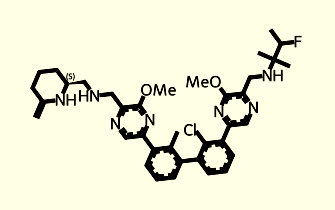 C=C1CCC[C@@H](CNCc2ncc(-c3cccc(-c4cccc(-c5cnc(CNC(C)(C)C(C)F)c(OC)n5)c4Cl)c3C)nc2OC)N1